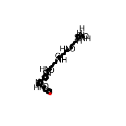 Cc1ncc(-c2ccc3nc(NC(=O)CCCCCNC(=O)CCCCCNC(=O)CCCC[C@@H]4SC[C@@H]5NC(=O)N[C@@H]54)sc3c2)cc1NC(=O)Cc1ccccc1